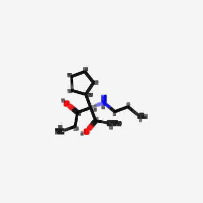 COC(=O)[C@@](NCCC(C)(C)C)(C(=O)CC#N)C1CCCC1